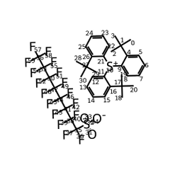 CC(C)(C)c1ccccc1[S+](c1ccccc1C(C)(C)C)c1ccccc1C(C)(C)C.O=S(=O)([O-])C(F)(F)C(F)(F)C(F)(F)C(F)(F)C(F)(F)C(F)(F)C(F)(F)C(F)(F)F